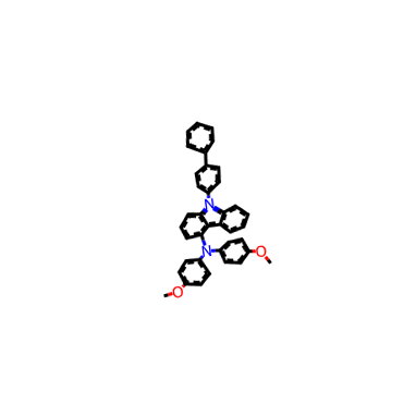 COc1ccc(N(c2ccc(OC)cc2)c2cccc3c2c2ccccc2n3-c2ccc(-c3ccccc3)cc2)cc1